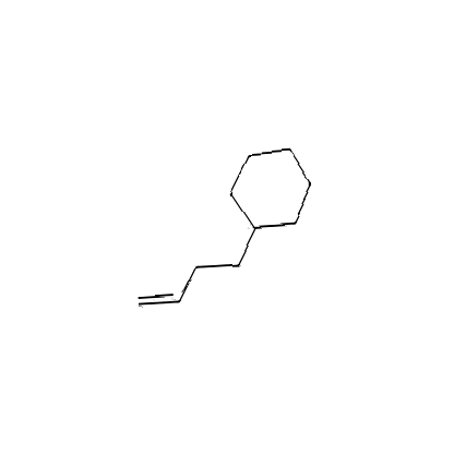 C=CCCC1CC[CH]CC1